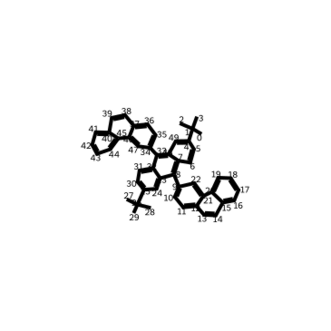 CC(C)(C)c1ccc2c(-c3ccc4ccc5ccccc5c4c3)c3cc(C(C)(C)C)ccc3c(-c3ccc4ccc5ccccc5c4c3)c2c1